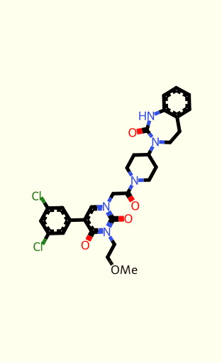 COCCn1c(=O)c(-c2cc(Cl)cc(Cl)c2)cn(CC(=O)N2CCC(N3CCc4ccccc4NC3=O)CC2)c1=O